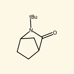 CC(C)(C)N1C(=O)C2CCC1C2